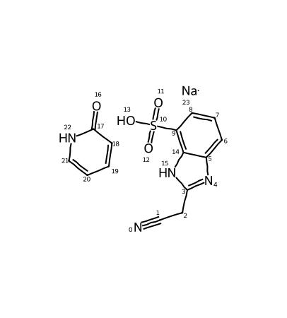 N#CCc1nc2cccc(S(=O)(=O)O)c2[nH]1.O=c1cccc[nH]1.[Na]